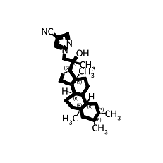 C[C@@H]1C[C@@]2(C)CC[C@@H]3C(CC[C@@]4(C)C3CC[C@@H]4[C@@](C)(O)Cn3cc(C#N)cn3)[C@H]2C[C@@H]1C